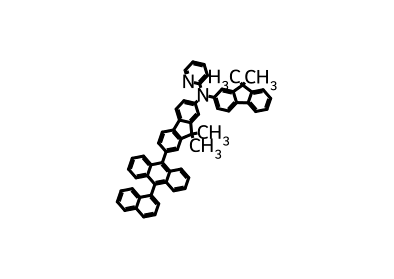 CC1(C)c2ccccc2-c2ccc(N(c3ccc4c(c3)C(C)(C)c3cc(-c5c6ccccc6c(-c6cccc7ccccc67)c6ccccc56)ccc3-4)c3ccccn3)cc21